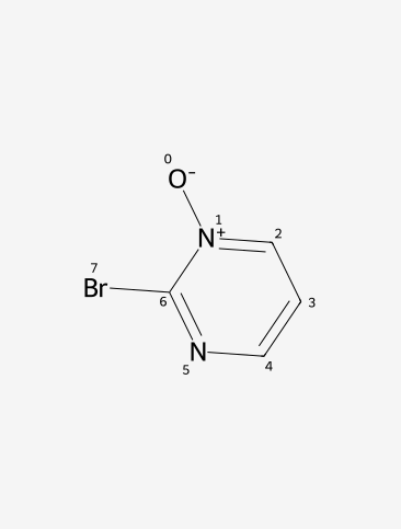 [O-][n+]1cccnc1Br